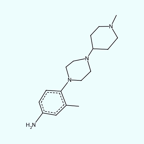 Cc1cc(N)ccc1N1CCN(C2CCN(C)CC2)CC1